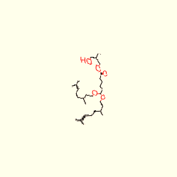 [CH2]C(CO)COC(=O)CCCCC(OCCC(C)CCC=C(C)C)OCCC(C)CCC=C(C)C